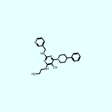 N#Cc1c(NCCO)nc(NCc2cccnc2)nc1N1CCC(c2ccccc2)CC1